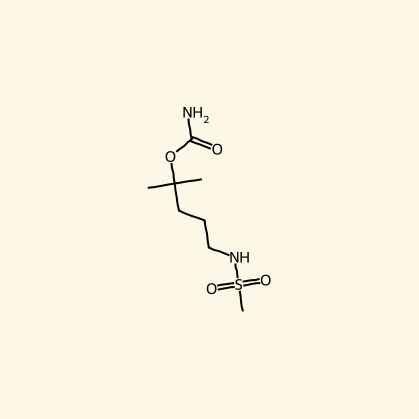 CC(C)(CCCNS(C)(=O)=O)OC(N)=O